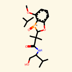 COc1cccc2c1[P@](=O)(C(C)(C)C)C(C(C)(C)C(=O)NC(CO)C(C)C)O2